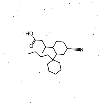 CCCCC1(C2CC(C#N)CCC2C(C)CC(=O)O)CCCCC1